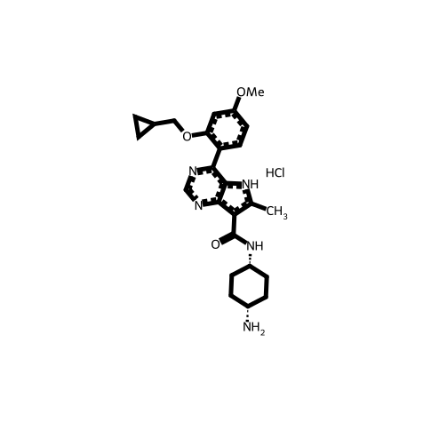 COc1ccc(-c2ncnc3c(C(=O)N[C@H]4CC[C@@H](N)CC4)c(C)[nH]c23)c(OCC2CC2)c1.Cl